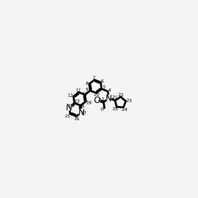 CC(=O)N(Cc1cccc(-c2ccc3nccnc3c2)c1)C1CCCC1